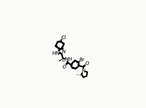 C[C@H](NC(=O)c1ccc(C(=O)N2CCC[C@@H]2C)c(Br)c1)c1nc2cc(Cl)ccc2[nH]1